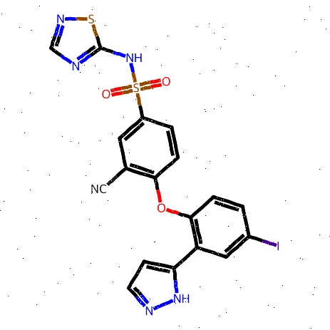 N#Cc1cc(S(=O)(=O)Nc2ncns2)ccc1Oc1ccc(I)cc1-c1ccn[nH]1